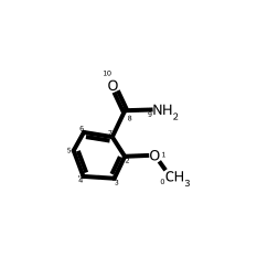 COc1c[c]ccc1C(N)=O